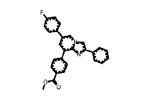 COC(=O)c1ccc(-c2cc(-c3ccc(F)cc3)cn3cc(-c4ccccc4)nc23)cc1